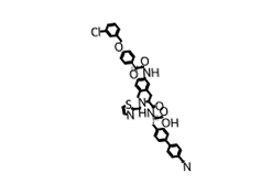 N#Cc1ccc(-c2ccc(C[C@H](NC(=O)C3Cc4cc5c(cc4CN3Cc3nccs3)O[C@@H](c3ccc(OCc4cccc(Cl)c4)cc3)C(=O)N5)C(=O)O)cc2)cc1